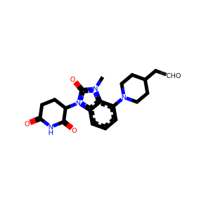 Cn1c(=O)n(C2CCC(=O)NC2=O)c2cccc(N3CCC(CC=O)CC3)c21